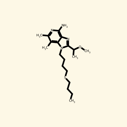 CCCCSCCCCn1c(C(C)OC)nc2c(N)nc(C)c(C)c21